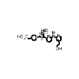 Cl.Cl.O=C(O)CC1CCN(c2ncc(-c3cccc(Nc4cc(CCO)ccn4)n3)s2)CC1